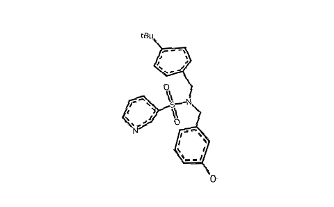 CC(C)(C)c1ccc(CN(Cc2cccc([O])c2)S(=O)(=O)c2cccnc2)cc1